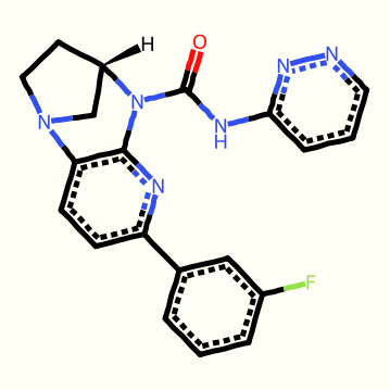 O=C(Nc1cccnn1)N1c2nc(-c3cccc(F)c3)ccc2N2CC[C@H]1C2